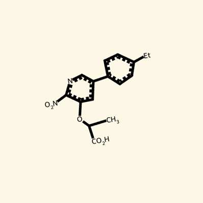 CCc1ccc(-c2cnc([N+](=O)[O-])c(OC(C)C(=O)O)c2)cc1